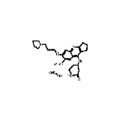 COc1cc2c(NC3CCNC(=O)C3)c3c(nc2cc1OCCCN1CCCC1)CCC3.O=CO